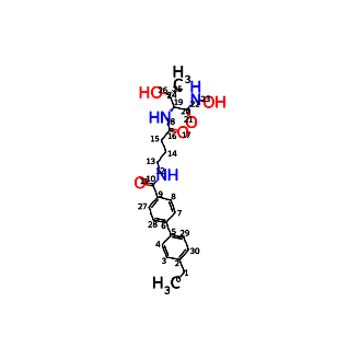 CCc1ccc(-c2ccc(C(=O)NCCCC(=O)N[C@H](C(=O)NO)[C@@H](C)O)cc2)cc1